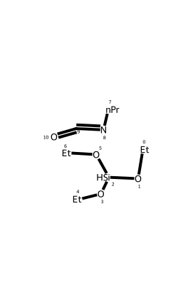 CCO[SiH](OCC)OCC.[CH2]CCN=C=O